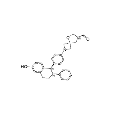 O=C[C@@H]1COC2(C1)CN(c1ccc([C@@H]3c4ccc(O)cc4CC[C@@H]3c3ccccc3)cc1)C2